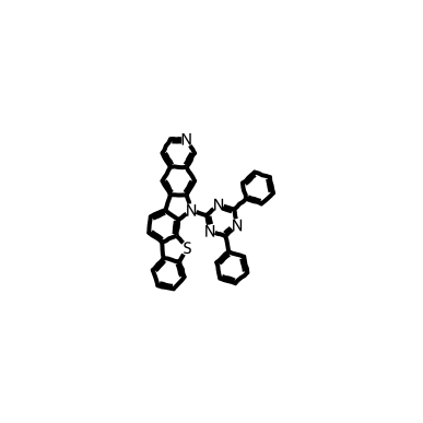 c1ccc(-c2nc(-c3ccccc3)nc(-n3c4cc5cnccc5cc4c4ccc5c6ccccc6sc5c43)n2)cc1